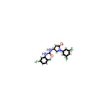 O=C(Nc1cc(F)ccc1F)NC1CC(=O)N(c2cc(F)cc(F)c2)C1